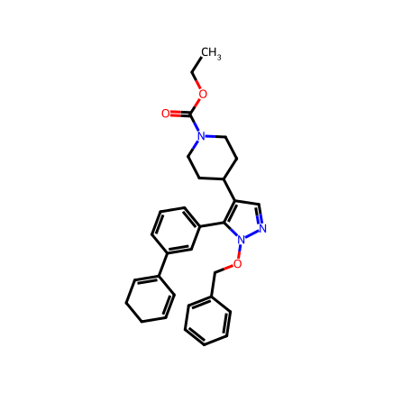 CCOC(=O)N1CCC(c2cnn(OCc3ccccc3)c2-c2cccc(C3=CCCC=C3)c2)CC1